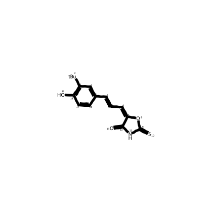 CC(C)(C)c1cc(C=CC=C2OC(=S)NC2=O)ccc1O